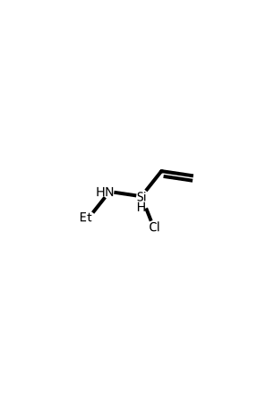 C=C[SiH](Cl)NCC